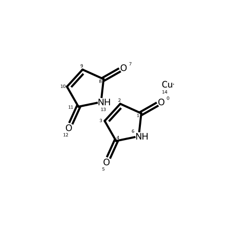 O=C1C=CC(=O)N1.O=C1C=CC(=O)N1.[Cu]